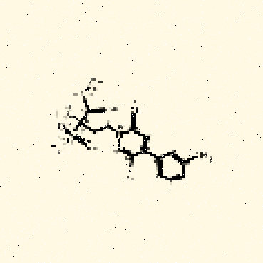 Cc1cccc(-c2cc(=O)n(CC[C@](C)(C(=O)NO)S(C)(=O)=O)cc2F)c1